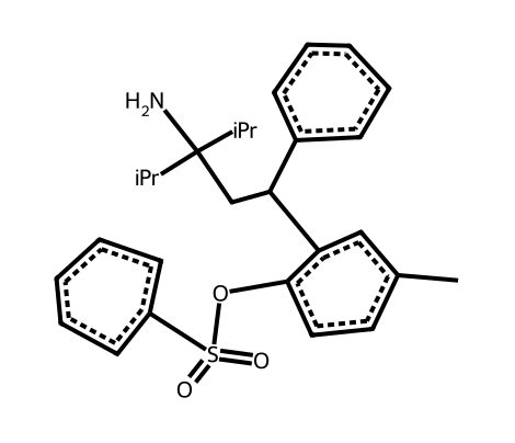 Cc1ccc(OS(=O)(=O)c2ccccc2)c(C(CC(N)(C(C)C)C(C)C)c2ccccc2)c1